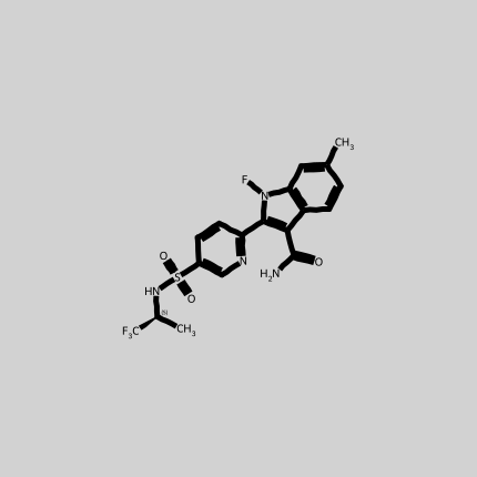 Cc1ccc2c(C(N)=O)c(-c3ccc(S(=O)(=O)N[C@@H](C)C(F)(F)F)cn3)n(F)c2c1